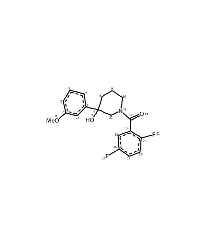 COc1cccc(C2(O)CCCN(C(=O)c3cc(F)ccc3F)C2)c1